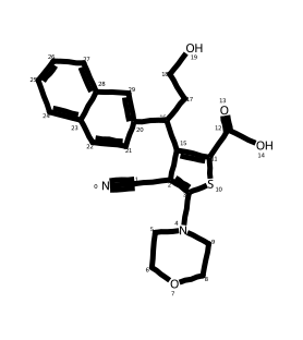 N#Cc1c(N2CCOCC2)sc(C(=O)O)c1C(CCO)c1ccc2ccccc2c1